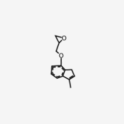 CC1=CCc2c(OCC3CO3)cccc21